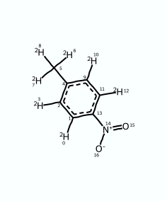 [2H]c1c([2H])c(C([2H])([2H])[2H])c([2H])c([2H])c1[N+](=O)[O-]